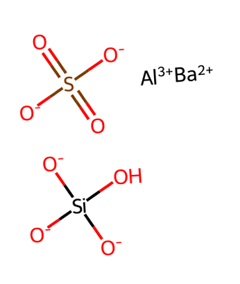 O=S(=O)([O-])[O-].[Al+3].[Ba+2].[O-][Si]([O-])([O-])O